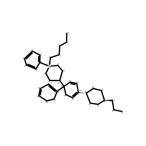 CCCCC[Si]1(c2ccccc2)CCC(C2(C3=CC=CCC3)C=CC([C@H]3CC[C@H](CCC)CC3)=CC2)CC1